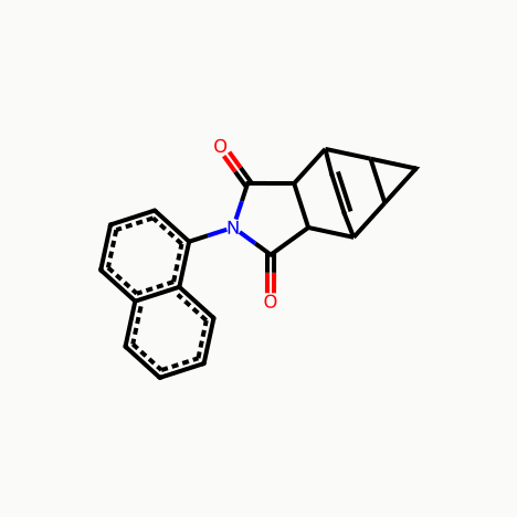 O=C1C2C3C=CC(C4CC34)C2C(=O)N1c1cccc2ccccc12